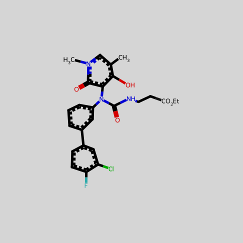 CCOC(=O)CCNC(=O)N(c1cccc(-c2ccc(F)c(Cl)c2)c1)c1c(O)c(C)cn(C)c1=O